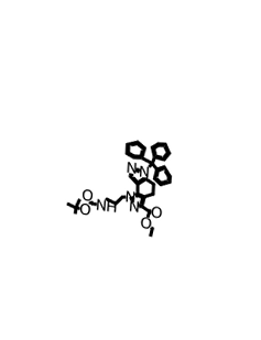 CCOC(=O)c1nn(CCCNC(=O)OC(C)(C)C)c2c1CCc1c-2cnn1C(c1ccccc1)(c1ccccc1)c1ccccc1